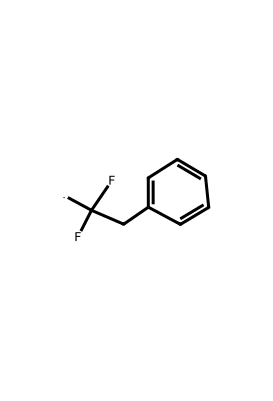 [CH2]C(F)(F)Cc1ccccc1